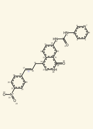 O=C(Nc1cccnc1)Nc1ccc2c(C/C=C/c3ccc([N+](=O)[O-])cc3)n[nH]c(=O)c2c1